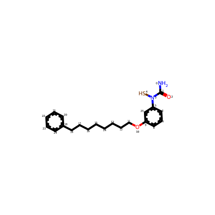 NC(=O)N(S)c1cccc(OCCCCCCCCc2ccccc2)c1